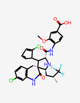 COc1cc(C(=O)O)ccc1NC(=O)[C@@H]1N[C@@H](C[C@@H](C)C(F)(F)F)[C@]2(Cc3ccc(Cl)cc3NC2=O)C1C1C=CC=C1Cl